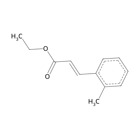 CCOC(=O)C=Cc1ccccc1C